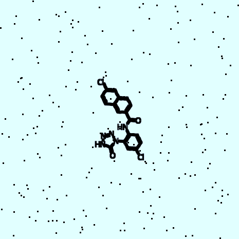 O=C(Nc1ccc(Cl)cc1-n1nn[nH]c1=O)c1ccc2cc(Cl)ccc2c1